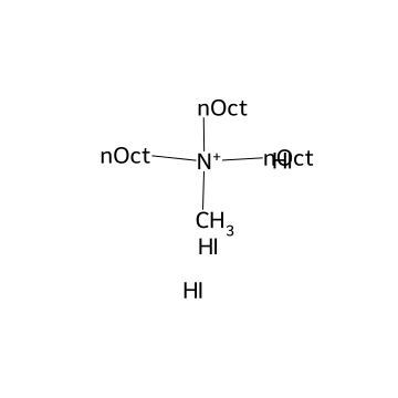 CCCCCCCC[N+](C)(CCCCCCCC)CCCCCCCC.I.I.I